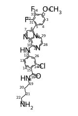 COc1ccc(-c2cnc3c(Nc4ccc(C(=O)NCCCCN)c(Cl)c4)nccn23)c(F)c1F